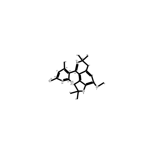 COc1cc2c(c3c1OC(C)(C)C3)C(c1c(C)cc(Cl)nc1Cl)=NC(C)(C)C2